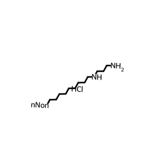 CCCCCCCCCCCCCCCCCCNCCCN.Cl